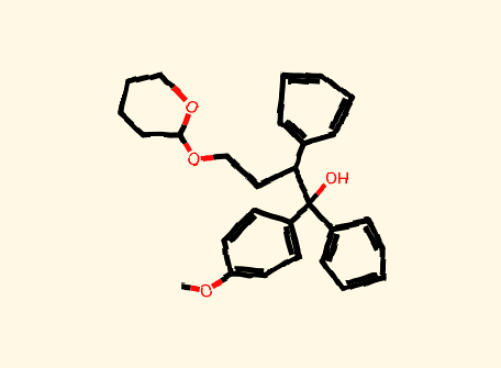 COc1ccc(C(O)(c2ccccc2)C(CCOC2CCCCO2)c2ccccc2)cc1